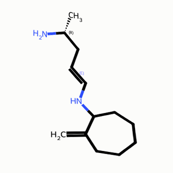 C=C1CCCCCC1N/C=C/C[C@@H](C)N